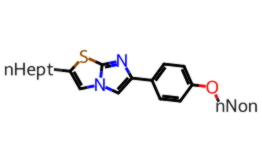 CCCCCCCCCOc1ccc(-c2cn3cc(CCCCCCC)sc3n2)cc1